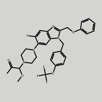 COC(C(C)=O)N1CCN(c2cc3c(cc2F)nc(COc2ccccc2)n3Cc2ccc(OC(F)(F)F)cc2)CC1